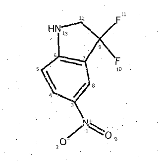 O=[N+]([O-])c1ccc2c(c1)C(F)(F)CN2